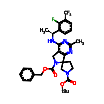 Cc1nc(N[C@H](C)c2cccc(C(F)(F)F)c2F)c2c(n1)C1(CCN(C(=O)OC(C)(C)C)C1)N(C(=O)OCc1ccccc1)C2